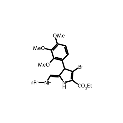 CCCNC=C1NC(C(=O)OCC)=C(Br)C1c1ccc(OC)c(OC)c1OC